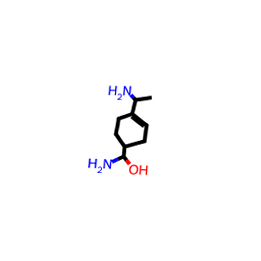 CC(N)C1=CCC(C(N)O)CC1